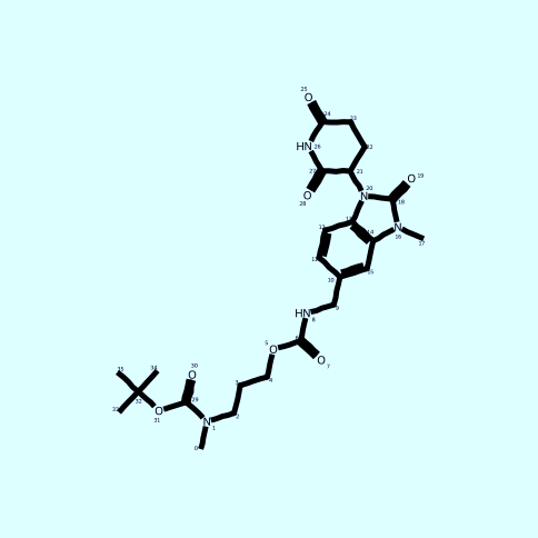 CN(CCCOC(=O)NCc1ccc2c(c1)n(C)c(=O)n2C1CCC(=O)NC1=O)C(=O)OC(C)(C)C